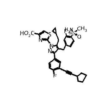 C[SH](N)(=O)c1ccc(Cc2c(-c3ccc(F)c(C#CC4CCCC4)c3)nn(-c3nc(C(=O)O)cs3)c2CC2CC2)cc1F